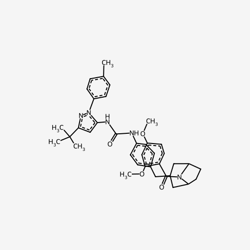 COc1ccc(C(=O)N2C3CCC2CC(Cc2ccc(NC(=O)Nc4cc(C(C)(C)C)nn4-c4ccc(C)cc4)cc2)C3)c(OC)c1